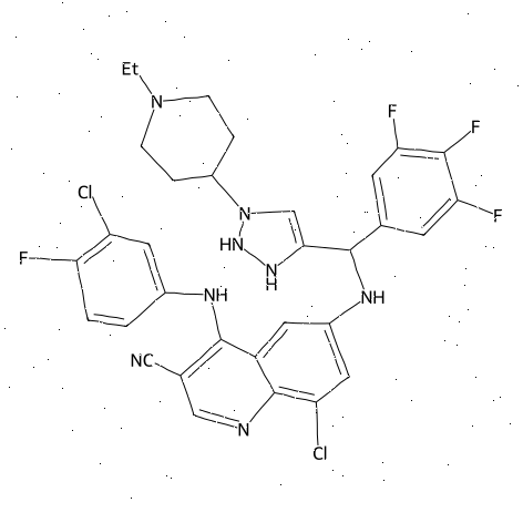 CCN1CCC(N2C=C(C(Nc3cc(Cl)c4ncc(C#N)c(Nc5ccc(F)c(Cl)c5)c4c3)c3cc(F)c(F)c(F)c3)NN2)CC1